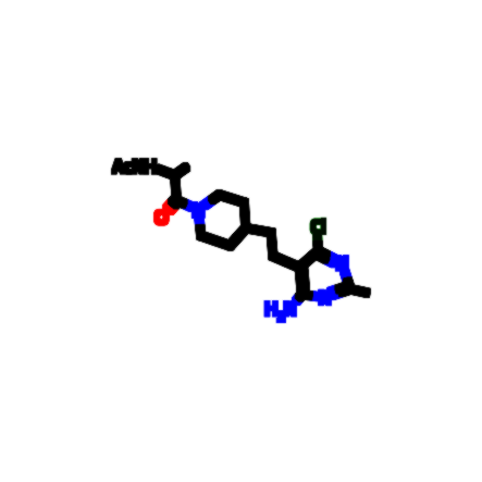 CC(=O)NC(C)C(=O)N1CCC(CCc2c(N)nc(C)nc2Cl)CC1